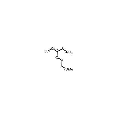 CCOC(CN)OCCOC